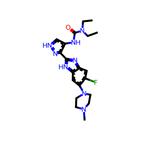 CCN(CC)C(=O)Nc1c[nH]nc1-c1nc2cc(F)c(N3CCN(C)CC3)cc2[nH]1